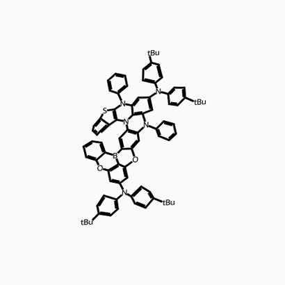 CC(C)(C)c1ccc(N(c2ccc(C(C)(C)C)cc2)c2cc3c4c(c2)Oc2cc5c(cc2B4c2ccccc2O3)N2c3c(cc(N(c4ccc(C(C)(C)C)cc4)c4ccc(C(C)(C)C)cc4)cc3N(c3ccccc3)c3sc4ccccc4c32)N5c2ccccc2)cc1